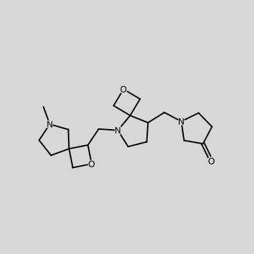 CN1CCC2(COC2CN2CCC(CN3CCC(=O)C3)C23COC3)C1